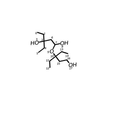 CCC(O)(CC)CC(O)OC(CC)(CC)CCO